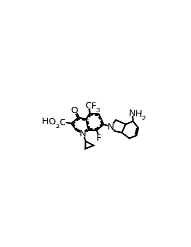 NC1C=CCC2CN(c3cc(C(F)(F)F)c4c(=O)c(C(=O)O)cn(C5CC5)c4c3F)CC12